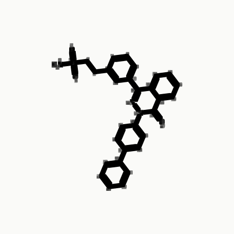 NS(=O)(=O)CCc1cccc(-c2nn(-c3ccc(-c4ccccc4)cc3)c(=O)c3ccccc23)c1